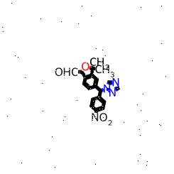 CC1(C)OC(C=O)c2ccc(C(c3ccc([N+](=O)[O-])cc3)n3cncn3)cc21